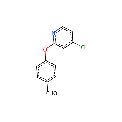 O=Cc1ccc(Oc2cc(Cl)ccn2)cc1